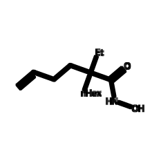 C=CCCC(CC)(CCCCCC)C(=O)NO